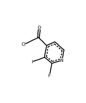 O=C(Cl)c1ccnc(F)c1I